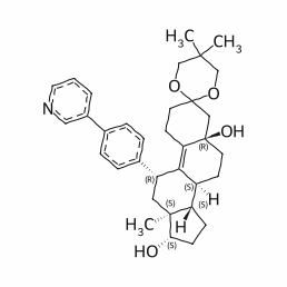 CC1(C)COC2(CCC3=C4[C@@H](CC[C@@]3(O)C2)[C@@H]2CC[C@H](O)[C@@]2(C)C[C@@H]4c2ccc(-c3cccnc3)cc2)OC1